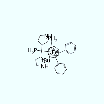 CC(C)(C)[C]12[C]3(c4ccccc4)[C]4(c5ccccc5)[C]5(CP)[C]1(C(P)(C1CCNC1)C1CCNC1)[Fe]54321678[CH]2[CH]1[CH]6[CH]7[CH]28